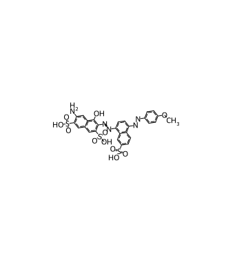 COc1ccc(N=Nc2ccc(N=Nc3c(S(=O)(=O)O)cc4cc(S(=O)(=O)O)c(N)cc4c3O)c3cc(S(=O)(=O)O)ccc23)cc1